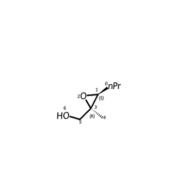 CCC[C@@H]1O[C@]1(C)CO